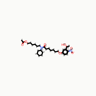 CC(=O)OCCCCCCN(C(=O)CCCCCCOc1ccc([N+](=O)[O-])c(C(C)O)c1)C1CCCCC1